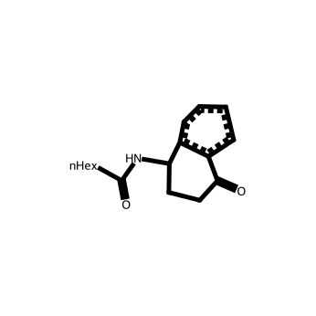 CCCCCCC(=O)NC1CCC(=O)c2ccccc21